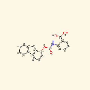 O=C(Nc1ccccc1C(=O)O)Oc1cccc2c1Cc1ccccc1-2